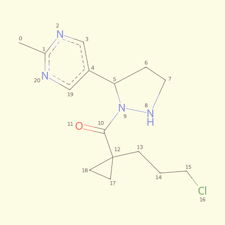 Cc1ncc(C2CCNN2C(=O)C2(CCCCl)CC2)cn1